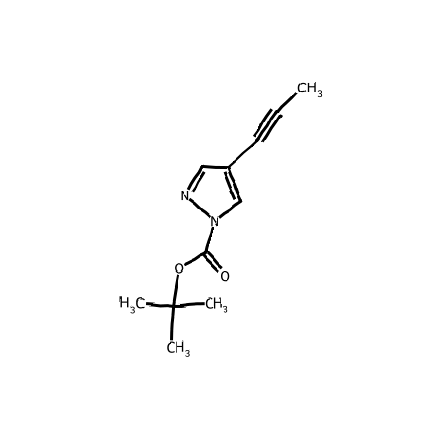 CC#Cc1cnn(C(=O)OC(C)(C)C)c1